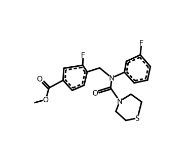 COC(=O)c1ccc(CN(C(=O)N2CCSCC2)c2cccc(F)c2)c(F)c1